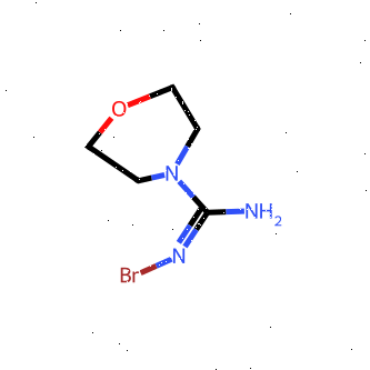 N/C(=N/Br)N1CCOCC1